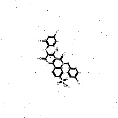 CS(=O)(=O)c1ccc2c3oc(=O)c(Sc4ccc(F)cc4F)c(O)c3c(=O)n(Cc3ccc(F)cc3)c2c1